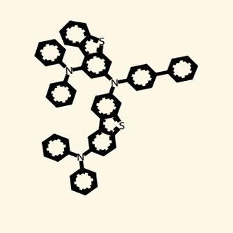 c1ccc(-c2ccc(N(c3ccc4c(c3)sc3ccc(N(c5ccccc5)c5ccccc5)cc34)c3cc(N(c4ccccc4)c4ccccc4)c4c(c3)sc3ccccc34)cc2)cc1